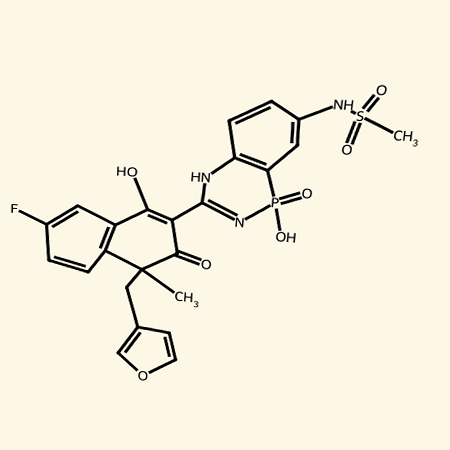 CC1(Cc2ccoc2)C(=O)C(C2=NP(=O)(O)c3cc(NS(C)(=O)=O)ccc3N2)=C(O)c2cc(F)ccc21